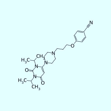 CC(C)n1c(N2CCN(CCCOc3ccc(C#N)cc3)CC2)cc(=O)n(C(C)C)c1=O